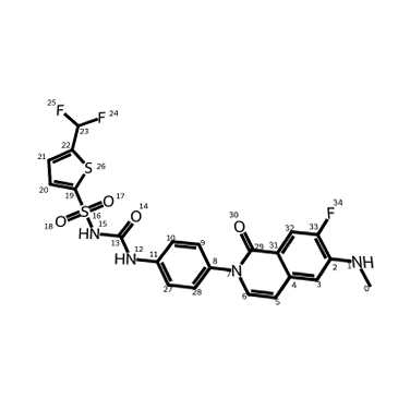 CNc1cc2ccn(-c3ccc(NC(=O)NS(=O)(=O)c4ccc(C(F)F)s4)cc3)c(=O)c2cc1F